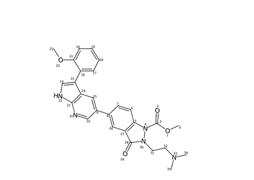 COC(=O)n1c2ccc(-c3cnc4[nH]cc(-c5ccccc5OC)c4c3)cc2c(=O)n1CCN(C)C